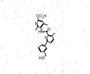 Cc1ccc(-c2cccc(CO)c2)nc1C(=O)Nc1c(C)cc(C(=O)O)nc1C